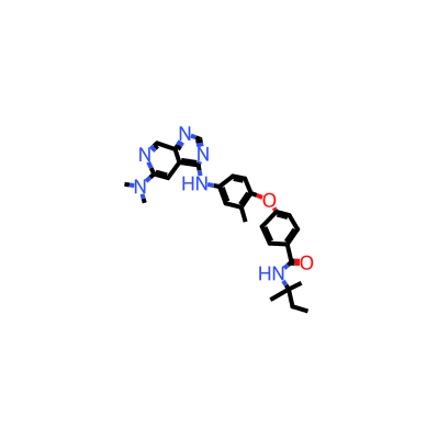 CCC(C)(C)NC(=O)c1ccc(Oc2ccc(Nc3ncnc4cnc(N(C)C)cc34)cc2C)cc1